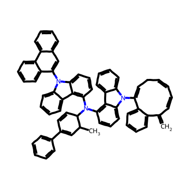 C=C1/C=C\C=C/C/C=C(/n2c3ccccc3c3c(N(c4cccc5c4c4ccccc4n5-c4cc5ccccc5c5ccccc45)C4C=CC(c5ccccc5)=CC4C)cccc32)c2ccccc21